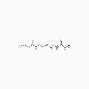 CCCC(=O)NCCOCCNC(=O)OC